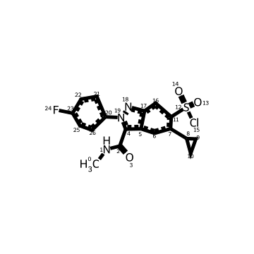 CNC(=O)c1c2cc(C3CC3)c(S(=O)(=O)Cl)cc2nn1-c1ccc(F)cc1